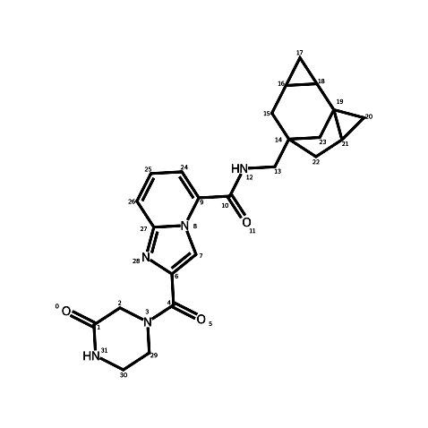 O=C1CN(C(=O)c2cn3c(C(=O)NCC45CC6CC6C6(CC6C4)C5)cccc3n2)CCN1